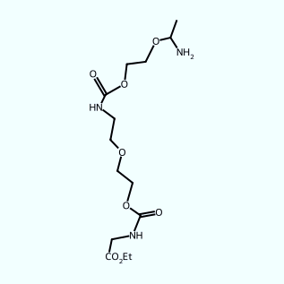 CCOC(=O)CNC(=O)OCCOCCNC(=O)OCCOC(C)N